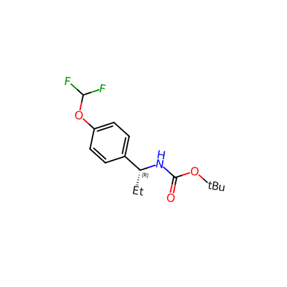 [CH2]C[C@@H](NC(=O)OC(C)(C)C)c1ccc(OC(F)F)cc1